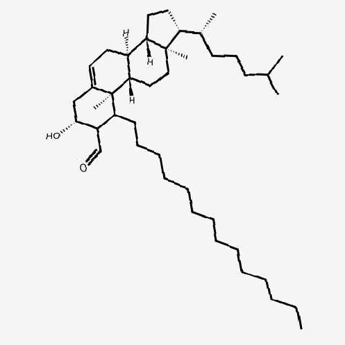 CCCCCCCCCCCCCCC1C(C=O)[C@H](O)CC2=CC[C@H]3[C@@H]4CC[C@H]([C@H](C)CCCC(C)C)[C@@]4(C)CC[C@@H]3[C@]21C